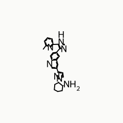 Cc1cccc(-c2[nH]cnc2-c2ccc3ncc(-c4ccn([C@@H]5CCCC[C@H]5N)n4)cc3c2)n1